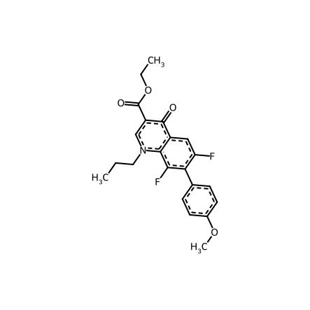 CCCn1cc(C(=O)OCC)c(=O)c2cc(F)c(-c3ccc(OC)cc3)c(F)c21